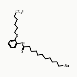 CC(C)(C)CCCCCCCCCCC(=S)Nc1ccccc1SCCCCCC(=O)O